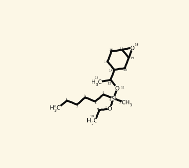 CCCCCC[Si](C)(OCC)OC(C)C1CCC2OC2C1